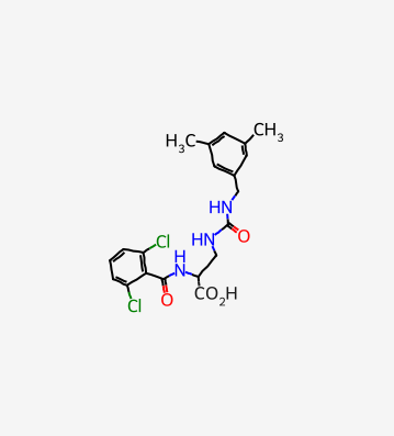 Cc1cc(C)cc(CNC(=O)NCC(NC(=O)c2c(Cl)cccc2Cl)C(=O)O)c1